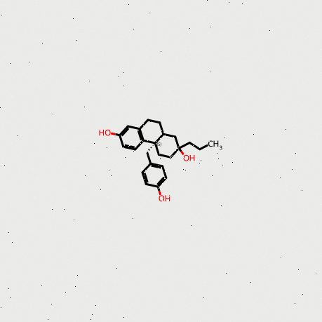 CCCC1(O)CC[C@@]2(Cc3ccc(O)cc3)c3ccc(O)cc3CCC2C1